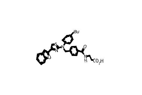 CCC(C)c1ccc(N(Cc2ccc(C(=O)NCCC(=O)O)cc2)c2nc(-c3cc4ccccc4o3)cs2)cc1